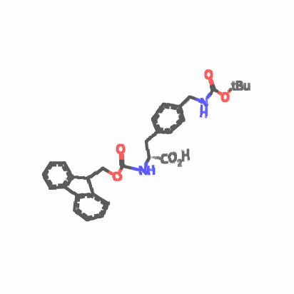 CC(C)(C)OC(=O)NCc1ccc(C[C@@H](NC(=O)OCC2c3ccccc3-c3ccccc32)C(=O)O)cc1